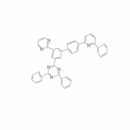 c1ccc(-c2cccc(-c3ccc(-c4cc(-c5ncccn5)cc(-c5nc(-c6ccccc6)nc(-c6ccccc6)n5)c4)cc3)n2)cc1